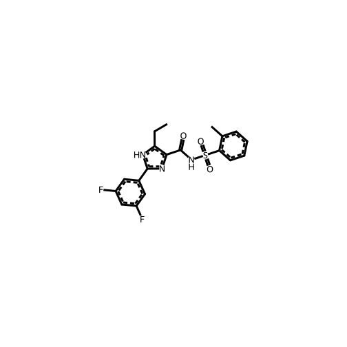 CCc1[nH]c(-c2cc(F)cc(F)c2)nc1C(=O)NS(=O)(=O)c1ccccc1C